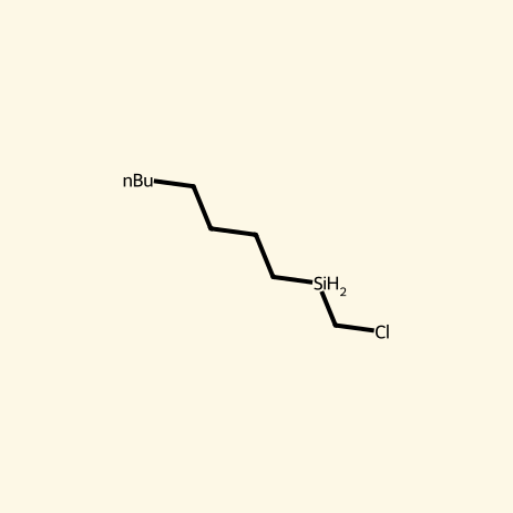 CCCCCCCC[SiH2]CCl